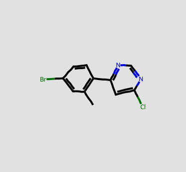 Cc1cc(Br)ccc1-c1cc(Cl)ncn1